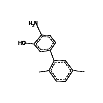 Cc1ccc(C)c(-c2ccc(N)c(O)c2)c1